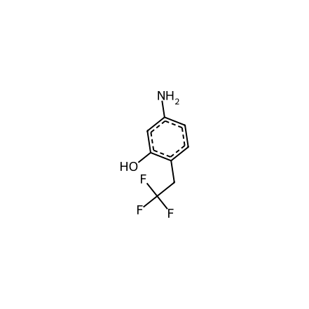 Nc1ccc(CC(F)(F)F)c(O)c1